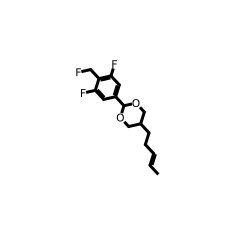 C/C=C/CCC1COC(c2cc(F)c(CF)c(F)c2)OC1